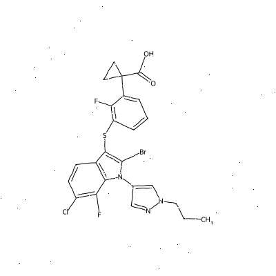 CCCn1cc(-n2c(Br)c(Sc3cccc(C4(C(=O)O)CC4)c3F)c3ccc(Cl)c(F)c32)cn1